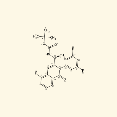 C[C@H](NC(=O)OC(C)(C)C)c1nc2c(F)cccc2c(=O)n1-c1cc(F)cc(F)c1